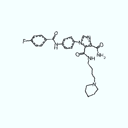 NC(=O)c1ncn(-c2ccc(NC(=O)c3ccc(F)cc3)cc2)c1C(=O)NCCCCN1CCCCC1